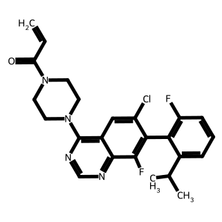 C=CC(=O)N1CCN(c2ncnc3c(F)c(-c4c(F)cccc4C(C)C)c(Cl)cc23)CC1